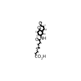 O=C(O)CCSSCCC(=O)Nc1ccc2oc(=O)ccc2c1